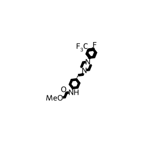 COCC(=O)N[C@H]1CC[C@H](CCN2CCN(c3ccc(F)c(C(F)(F)F)c3)CC2)CC1